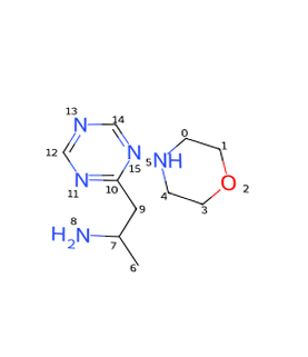 C1COCCN1.CC(N)Cc1ncncn1